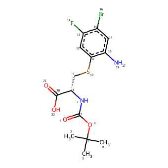 CC(C)(C)OC(=O)N[C@@H](CSc1cc(F)c(Br)cc1N)C(=O)O